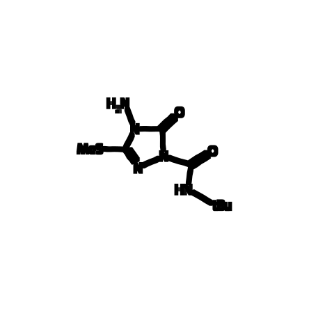 CSc1nn(C(=O)NC(C)(C)C)c(=O)n1N